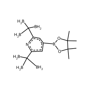 BC(B)(B)c1cc(B2OC(C)(C)C(C)(C)O2)cc(C(B)(B)B)n1